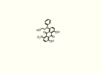 O=C1c2c(O)ccc(N(CCO)c3ccccc3)c2C(=O)c2c([N+](=O)[O-])ccc(O)c21